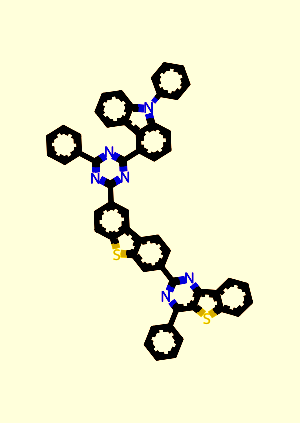 c1ccc(-c2nc(-c3ccc4sc5cc(-c6nc(-c7ccccc7)c7sc8ccccc8c7n6)ccc5c4c3)nc(-c3cccc4c3c3ccccc3n4-c3ccccc3)n2)cc1